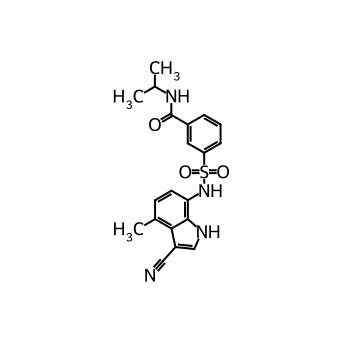 Cc1ccc(NS(=O)(=O)c2cccc(C(=O)NC(C)C)c2)c2[nH]cc(C#N)c12